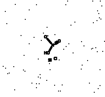 O=[N+]([O-])O.[C].[Si]